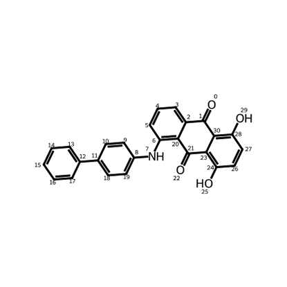 O=C1c2cccc(Nc3ccc(-c4ccccc4)cc3)c2C(=O)c2c(O)ccc(O)c21